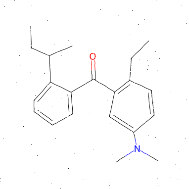 CCc1ccc(N(C)C)cc1C(=O)c1ccccc1C(C)CC